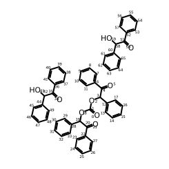 O=C(OC(C(=O)c1ccccc1)c1ccccc1)OC(C(=O)c1ccccc1)c1ccccc1.O=C(c1ccccc1)C(O)c1ccccc1.O=C(c1ccccc1)C(O)c1ccccc1